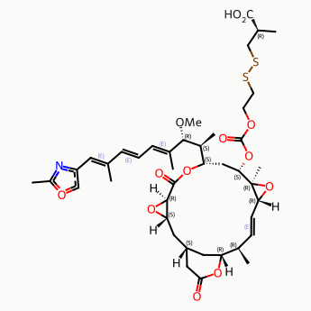 CO[C@@H](/C(C)=C/C=C/C(C)=C/c1coc(C)n1)[C@@H](C)[C@@H]1C[C@H](OC(=O)OCCSSC[C@H](C)C(=O)O)[C@@]2(C)O[C@@H]2/C=C/[C@@H](C)[C@H]2C[C@H](CC(=O)O2)C[C@@H]2O[C@H]2C(=O)O1